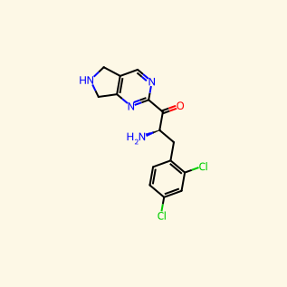 N[C@H](Cc1ccc(Cl)cc1Cl)C(=O)c1ncc2c(n1)CNC2